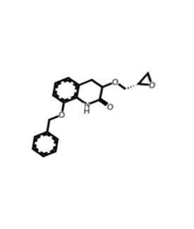 O=C1Nc2c(cccc2OCc2ccccc2)CC1OC[C@@H]1CO1